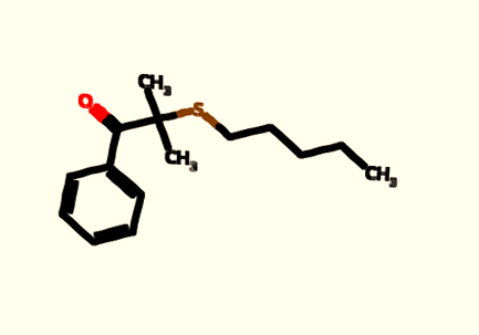 CCCCCSC(C)(C)C(=O)c1ccccc1